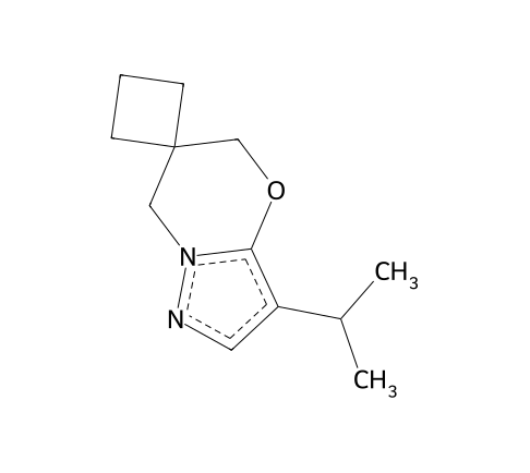 CC(C)c1cnn2c1OCC1(CCC1)C2